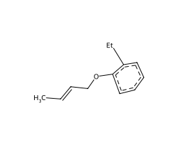 [CH2]Cc1ccccc1OC/C=C/C